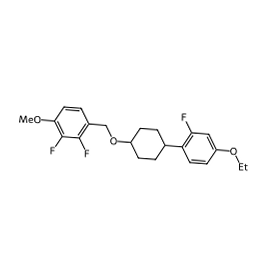 CCOc1ccc(C2CCC(OCc3ccc(OC)c(F)c3F)CC2)c(F)c1